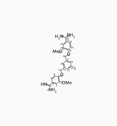 COc1cc(C(=N)N)ccc1OCc1cc(C)cc(COc2ccc(C(N)N)cc2OC)c1